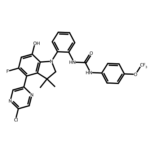 CC1(C)CN(c2ccccc2NC(=O)Nc2ccc(OC(F)(F)F)cc2)c2c(O)cc(F)c(-c3cnc(Cl)cn3)c21